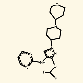 FC(F)Oc1nn(C2CCN(C3CCOCC3)CC2)cc1Nc1ncccn1